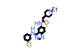 CCN1CCC(=CC(=O)Nc2cc3c(Nc4cccc(Cl)c4)ncnc3cc2F)CC1